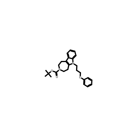 CC(C)(C)OC(=O)N1CCc2c(n(CCCOc3ccccc3)c3ccccc23)CC1